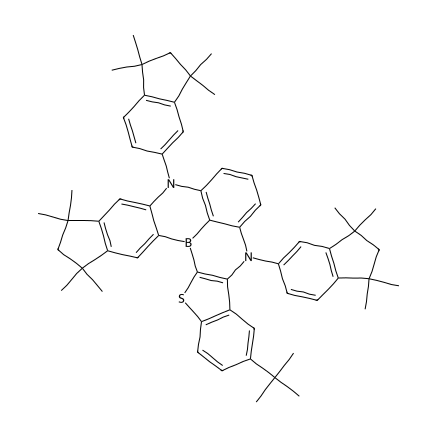 CC(C)(C)c1ccc2sc3c(c2c1)N(c1ccc2c(c1)C(C)(C)CC2(C)C)c1cccc2c1B3c1cc3c(cc1N2c1ccc2c(c1)C(C)(C)CC2(C)C)C(C)(C)CC3(C)C